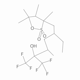 CCC(CC(C)C(O)(C(F)(F)F)C(F)(F)F)CC1(C)C(C)C(C)(C)OS1(=O)=O